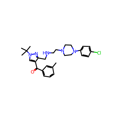 Cc1cccc(C(=O)c2cn(C(C)(C)C)nc2CNCCN2CCN(c3ccc(Cl)cc3)CC2)c1